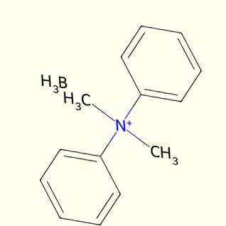 B.C[N+](C)(c1ccccc1)c1ccccc1